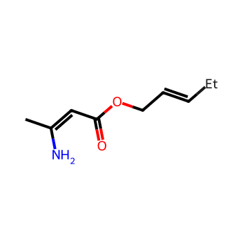 CCC=CCOC(=O)C=C(C)N